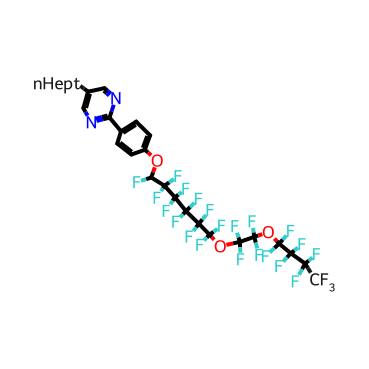 CCCCCCCc1cnc(-c2ccc(OC(F)C(F)(F)C(F)(F)C(F)(F)C(F)(F)C(F)(F)OC(F)(F)C(F)(F)OC(F)(F)C(F)(F)C(F)(F)C(F)(F)F)cc2)nc1